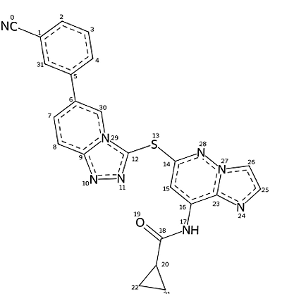 N#Cc1cccc(-c2ccc3nnc(Sc4cc(NC(=O)C5CC5)c5nccn5n4)n3c2)c1